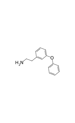 NCCc1cccc(Oc2ccccc2)c1